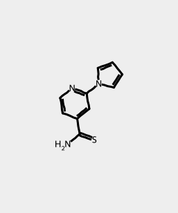 NC(=S)c1ccnc(-n2cccc2)c1